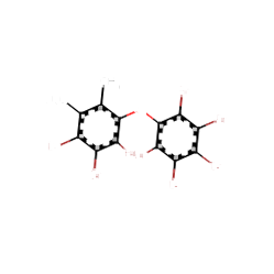 Cc1c(C)c(Oc2c(Br)c(Br)c(Br)c(Br)c2Br)c(Br)c(Br)c1Br